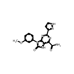 COc1cccc(-n2c(=O)[nH]c3c(C(N)=O)nc(-c4cc[nH]n4)nc32)c1